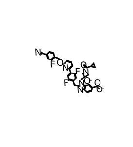 COC(=O)c1ccc2nc(Cc3cc(F)c(-c4cccc(OCc5ccc(C#N)cc5F)n4)cc3F)n(CC3(OC)CN(C(=O)C4CC4)C3)c2c1